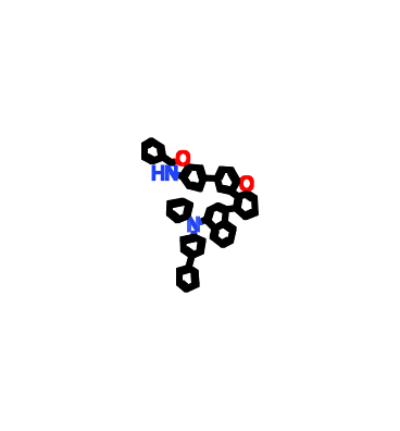 c1ccc(-c2ccc(N(c3ccccc3)c3ccc(-c4cccc5oc6ccc(-c7ccc8c(c7)OC(c7ccccc7)N8)cc6c45)c4ccccc34)cc2)cc1